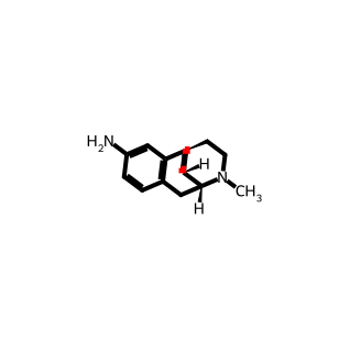 CN1CC[C@]23CCCC[C@H]2[C@H]1Cc1ccc(N)cc13